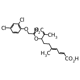 C=C(C)C(CC/C(C)=C/C=C/C(=O)O)OC(=O)COc1ccc(Cl)cc1Cl